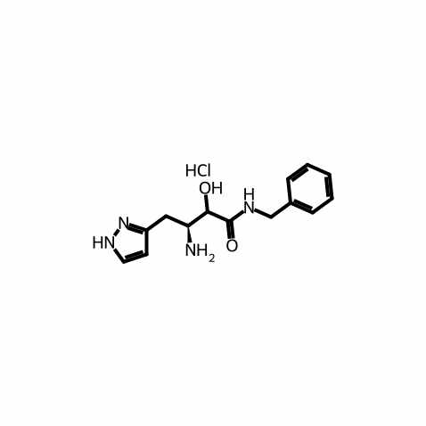 Cl.N[C@@H](Cc1cc[nH]n1)C(O)C(=O)NCc1ccccc1